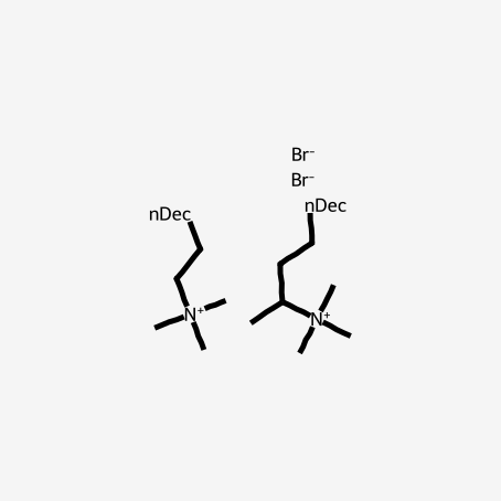 CCCCCCCCCCCCC(C)[N+](C)(C)C.CCCCCCCCCCCC[N+](C)(C)C.[Br-].[Br-]